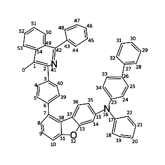 Cc1c(-c2ccc(-c3cccc4oc5cc(N(c6ccccc6)c6ccc(-c7ccccc7)cc6)ccc5c34)cc2)nc(-c2ccccc2)c2ccccc12